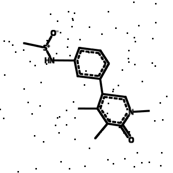 Cc1c(-c2cccc(N[S+](C)[O-])c2)cn(C)c(=O)c1C